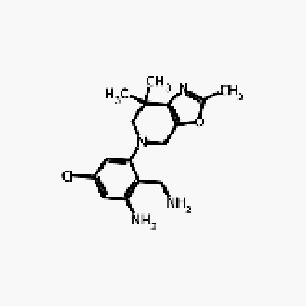 Cc1nc2c(o1)CN(c1cc(Cl)cc(N)c1CN)CC2(C)C